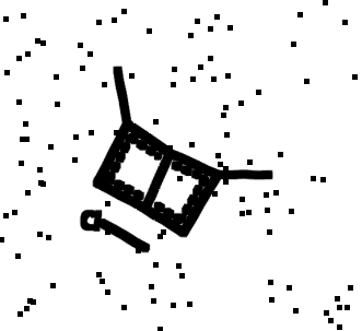 CCl.Cc1cc2cc(C)c1-2